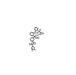 COCCCC[C@@](O)(c1ccccc1Oc1ccccc1C(F)(F)F)[C@@H]1CCCN(C(=O)N[C@H]2CC(C)N(C)C2)C1